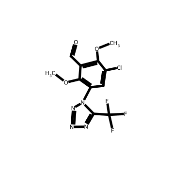 COc1c(Cl)cc(-n2nnnc2C(F)(F)F)c(OC)c1C=O